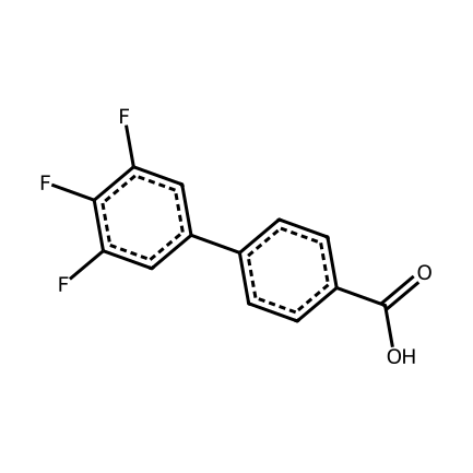 O=C(O)c1ccc(-c2cc(F)c(F)c(F)c2)cc1